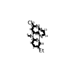 CCc1ccc(N(C)c2cc(Cl)nn3ccnc23)nc1